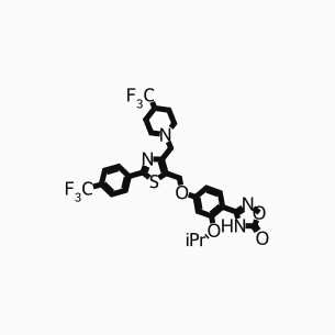 CC(C)Oc1cc(OCc2sc(-c3ccc(C(F)(F)F)cc3)nc2CN2CCC(C(F)(F)F)CC2)ccc1-c1noc(=O)[nH]1